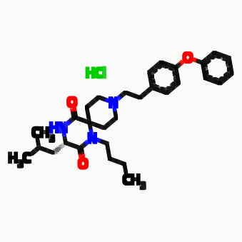 CCCCN1C(=O)[C@H](CC(C)C)NC(=O)C12CCN(CCc1ccc(Oc3ccccc3)cc1)CC2.Cl